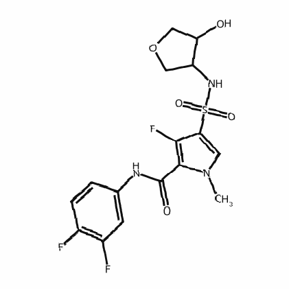 Cn1cc(S(=O)(=O)NC2COCC2O)c(F)c1C(=O)Nc1ccc(F)c(F)c1